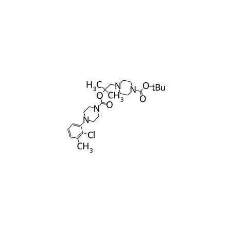 Cc1cccc(N2CCN(C(=O)OC(C)(C)CN3CCN(C(=O)OC(C)(C)C)CC3)CC2)c1Cl